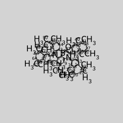 CCC(C)c1cc2c3c(c1)N(c1ccc4c(c1)C(C)(C)CCC4(C)C)c1c(oc4cc5c(cc14)C(C)(C)CCC5(C)C)B3c1ccc(C(C)(C)C)cc1N2c1cc2c(cc1C)C(C)(C)CCC2(C)C